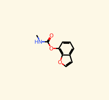 CNC(=O)Oc1cccc2ccoc12